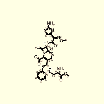 CO/N=C(\C(=O)N[C@@H]1C(=O)N2C(C(=O)[O-])=C(CSc3cccc[n+]3NC[C@H](N)C(=O)OC)CS[C@H]12)c1csc(N)n1